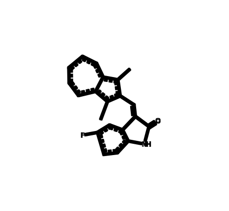 Cc1c2cccccc-2c(C)c1/C=C1/C(=O)Nc2ccc(F)cc21